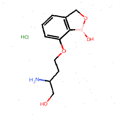 Cl.NC(CO)CCOc1cccc2c1B(O)OC2